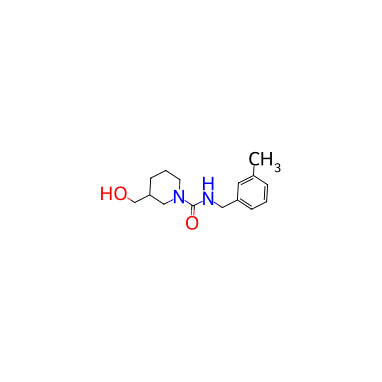 Cc1cccc(CNC(=O)N2CCCC(CO)C2)c1